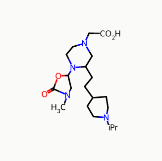 CC(C)N1CCC(CCC2CN(CC(=O)O)CCN2C2CN(C)C(=O)O2)CC1